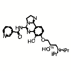 CC(C)N(C[C@H](O)COc1ccc2c(c1O)N=C(NC(=O)c1cccnc1)N1CCN=C21)C(C)C